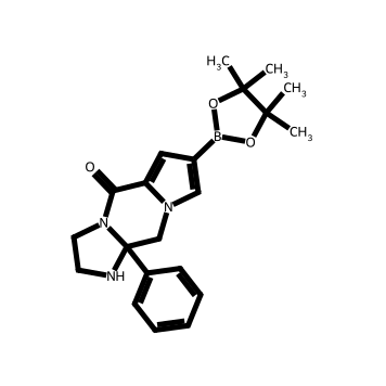 CC1(C)OB(c2cc3n(c2)CC2(c4ccccc4)NCCN2C3=O)OC1(C)C